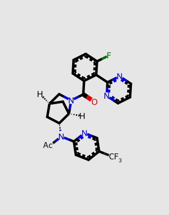 CC(=O)N(c1ccc(C(F)(F)F)cn1)[C@@H]1C[C@@H]2C[C@H]1N(C(=O)c1cccc(F)c1-c1ncccn1)C2